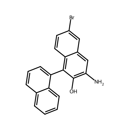 Nc1cc2cc(Br)ccc2c(-c2cccc3ccccc23)c1O